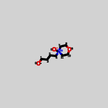 [O]CCCC[N+]1([O-])CCOCC1